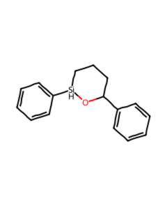 c1ccc(C2CCC[SiH](c3ccccc3)O2)cc1